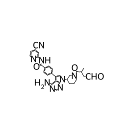 CC(CC=O)C(=O)N1CCC[C@@H](n2cc(-c3ccc(C(=O)Nc4cc(C#N)ccn4)cc3)c3c(N)ncnc32)C1